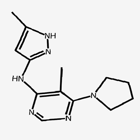 Cc1cc(Nc2ncnc(N3CCCC3)c2C)n[nH]1